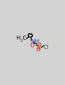 C=Cc1ccccc1CNC(=O)CCS(=O)(=O)CCCl